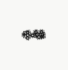 FC(F)(F)c1c2ccccc2c(-c2ccc3sc4c(-c5c6ccccc6c(C(F)(F)F)c6ccccc56)cccc4c3c2)c2ccccc12